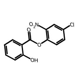 O=C(Oc1ccc(Cl)cc1[N+](=O)[O-])c1ccccc1O